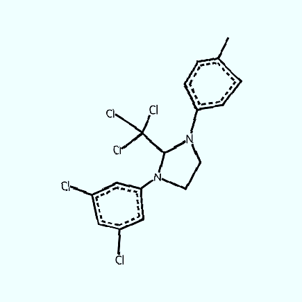 Cc1ccc(N2CCN(c3cc(Cl)cc(Cl)c3)C2C(Cl)(Cl)Cl)cc1